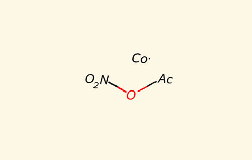 CC(=O)O[N+](=O)[O-].[Co]